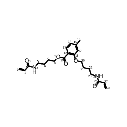 C=CC(=O)NCCCCOC(=O)c1ccc(C)cc1OCCCCNC(=O)C=C